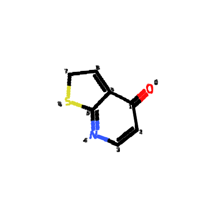 O=C1C=CN=C2SCC=C12